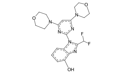 Oc1cccc2c1nc(C(F)F)n2-c1nc(N2CCOCC2)cc(N2CCOCC2)n1